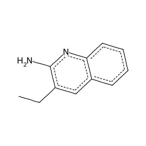 CCc1cc2ccccc2nc1N